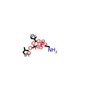 CC(C)CC(C)C(=O)OC[C@H](COP(=O)(O)OCCN)OC(=O)C(C)CC(C)C